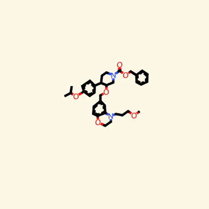 COCCCN1CCOc2ccc(COC3CN(C(=O)OCc4ccccc4)CCC3c3ccc(OC(C)C)cc3)cc21